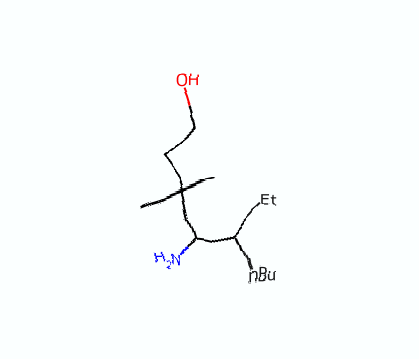 CCCCC(CC)C(N)C(C)(C)CCO